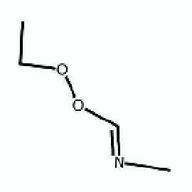 CCOO/C=N/C